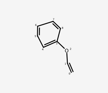 C=COc1c[c]ccc1